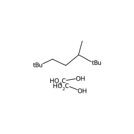 CC(CCC(C)(C)C)C(C)(C)C.O=C(O)O.O=C(O)O